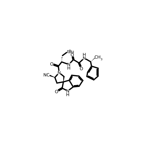 C[C@@H](NC(=O)C(=O)N[C@@H](CC(C)(C)C)C(=O)N1C[C@]2(C[C@H]1C#N)C(=O)Nc1ccccc12)c1ccccc1